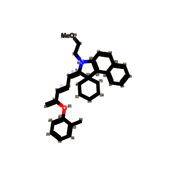 C=C(/C=C/C=C1/N(CCOC)c2ccc3ccccc3c2C12CCCCC2)Oc1ccccc1C